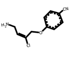 N#Cc1ccc(OC/C(Cl)=C\CN)cc1